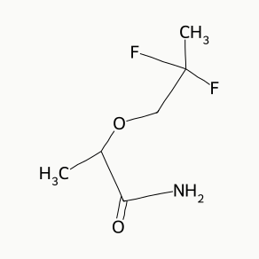 CC(OCC(C)(F)F)C(N)=O